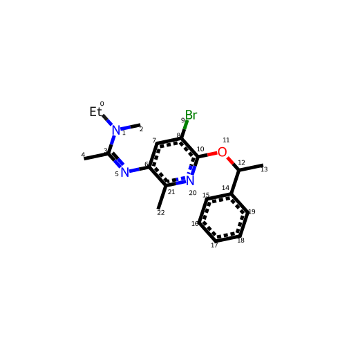 CCN(C)C(C)=Nc1cc(Br)c(OC(C)c2ccccc2)nc1C